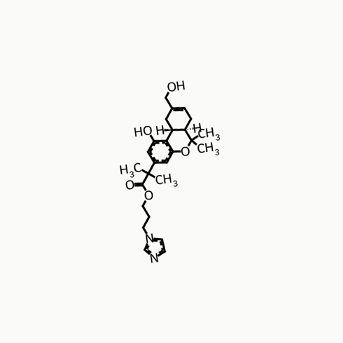 CC(C)(C(=O)OCCCn1ccnc1)c1cc(O)c2c(c1)OC(C)(C)[C@@H]1CC=C(CO)C[C@@H]21